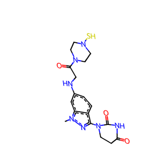 Cn1nc(N2CCC(=O)NC2=O)c2ccc(NCC(=O)N3CCN(S)CC3)cc21